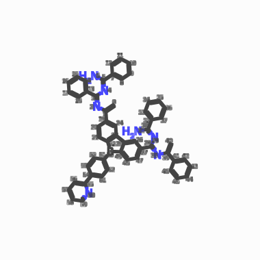 C=C(/N=C(\N=C(/N)c1ccccc1)c1ccccc1)c1ccc2c(c1)-c1cc(C(/N=C(\N)c3ccccc3)=N/C(=C)c3ccccc3)ccc1B2c1ccc(-c2ccccn2)cc1